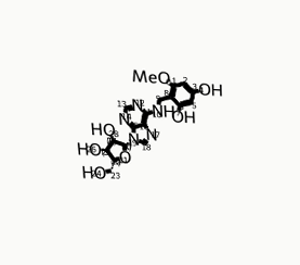 COc1cc(O)cc(O)c1CNc1ncnc2c1ncn2[C@@H]1O[C@H](CO)[C@@H](O)[C@H]1O